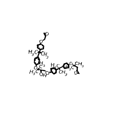 CC(C)(CC1CO1)Oc1ccc(C(C)(C)c2ccc(OCC(O)C(C)(C)Oc3ccc(C(C)(C)c4ccc(OCC5CO5)cc4)cc3)cc2)cc1